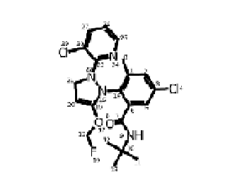 Cc1cc(Cl)cc(C(=O)NC(C)(C)C)c1N1C(OCF)=CCN1c1ncccc1Cl